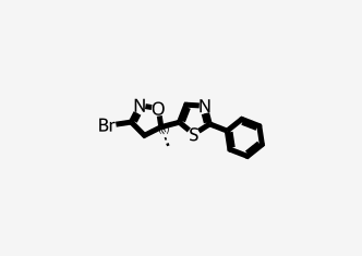 C[C@]1(c2cnc(-c3ccccc3)s2)CC(Br)=NO1